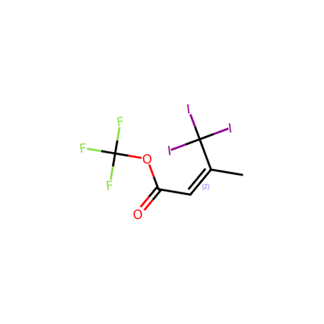 C/C(=C/C(=O)OC(F)(F)F)C(I)(I)I